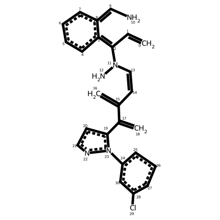 C=C/C(=c1/cccc/c1=C/N)N(N)/C=C\C(=C)C(=C)c1ccnn1-c1cccc(Cl)c1